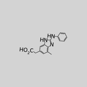 Cc1cc(CC(=O)O)cc2[nH]c(Nc3ccccc3)nc12